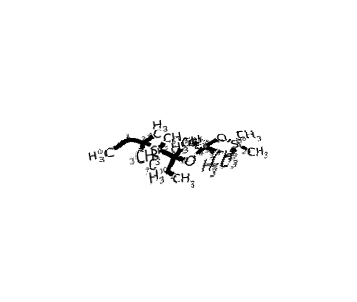 CCC(C)(C)[Si](C)(C)C(C)(CC)O[Si](C)(C)O[Si](C)(C)C